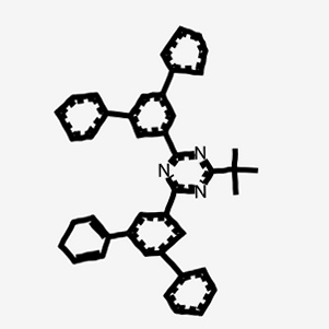 CC(C)(C)c1nc(-c2cc(C3=CCCC=C3)cc(-c3ccccc3)c2)nc(-c2cc(-c3ccccc3)cc(-c3ccccc3)c2)n1